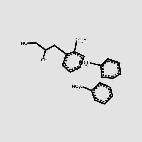 O=C(O)c1ccccc1.O=C(O)c1ccccc1.O=C(O)c1ccccc1CC(O)CO